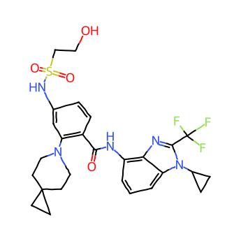 O=C(Nc1cccc2c1nc(C(F)(F)F)n2C1CC1)c1ccc(NS(=O)(=O)CCO)cc1N1CCC2(CC1)CC2